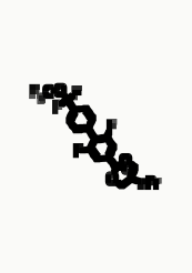 CCCC12COC(c3cc(F)c(-c4ccc(C(F)(F)OC(F)(F)F)cc4)c(F)c3)(OC1)O2